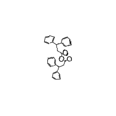 O=C(CC(c1ccccc1)c1ccccc1)OC(=O)CC(c1ccccc1)c1ccccc1